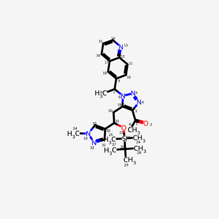 CC(=O)c1nnn(C(C)c2ccc3ncccc3c2)c1CC(O[Si](C)(C)C(C)(C)C)c1cnn(C)c1